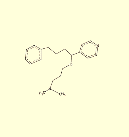 CN(C)CCCOC(CCCc1ccccc1)c1ccncc1